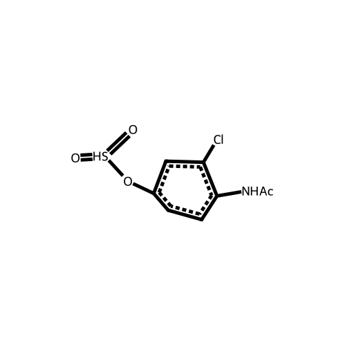 CC(=O)Nc1ccc(O[SH](=O)=O)cc1Cl